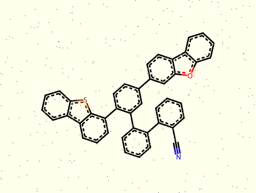 N#Cc1ccccc1-c1ccccc1-c1cc(-c2ccc3c(c2)oc2ccccc23)ccc1-c1cccc2c1sc1ccccc12